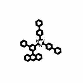 c1ccc(-c2ccc(-c3nc(-c4ccc(-c5ccccc5)cc4)nc(-c4cc(-c5ccccc5)cc(-c5c6ccccc6cc6ccccc56)c4)n3)cc2)cc1